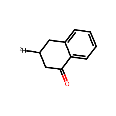 [2H]C1CC(=O)c2ccccc2C1